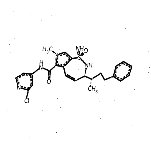 C[C@@H](CCc1ccccc1)[C@H]1C=Cc2c(cn(C)c2C(=O)Nc2ccnc(Cl)c2)S(=N)(=O)N1